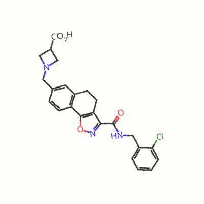 O=C(NCc1ccccc1Cl)c1noc2c1CCc1cc(CN3CC(C(=O)O)C3)ccc1-2